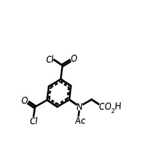 CC(=O)N(CC(=O)O)c1cc(C(=O)Cl)cc(C(=O)Cl)c1